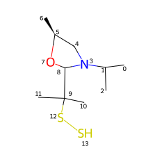 CC(C)N1C[C@H](C)OC1C(C)(C)SS